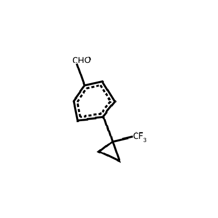 O=Cc1ccc(C2(C(F)(F)F)CC2)cc1